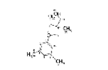 Cc1[c]c(C)cc(OCC(C)(CO)CO)c1